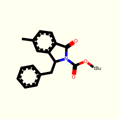 Cc1ccc2c(c1)C(Cc1ccccc1)N(C(=O)OC(C)(C)C)C2=O